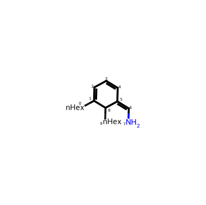 CCCCCCC1=CC=CC(=CN)C1CCCCCC